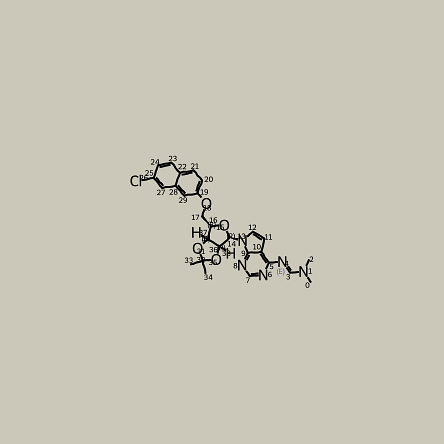 CN(C)/C=N/c1ncnc2c1ccn2[C@@H]1O[C@H](COc2ccc3ccc(Cl)cc3c2)[C@H]2OC(C)(C)O[C@H]21